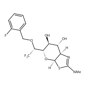 CNC1=N[C@@H]2[C@@H](O)[C@H](O)[C@@H]([C@@H](OCc3ccccc3F)C(F)(F)F)O[C@@H]2S1